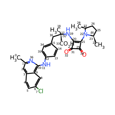 Cc1cc2ccc(Cl)cc2c(Nc2ccc(C[C@](C)(Nc3c(N4[C@H](C)CC[C@@H]4C)c(=O)c3=O)C(=O)O)cc2)n1